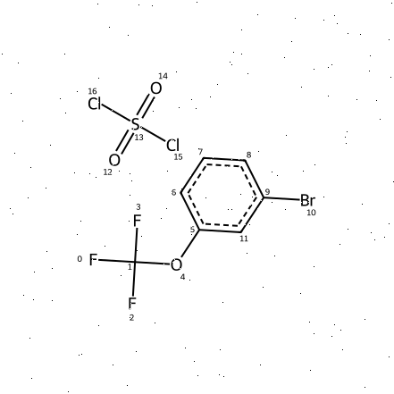 FC(F)(F)Oc1cccc(Br)c1.O=S(=O)(Cl)Cl